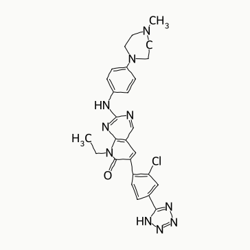 CCn1c(=O)c(-c2ccc(-c3nnn[nH]3)cc2Cl)cc2cnc(Nc3ccc(N4CCN(C)CC4)cc3)nc21